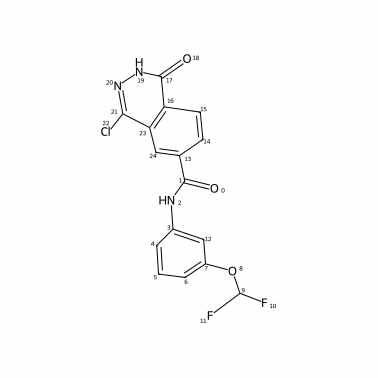 O=C(Nc1cccc(OC(F)F)c1)c1ccc2c(=O)[nH]nc(Cl)c2c1